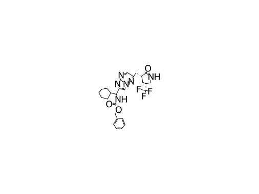 O=C(N[C@H](c1cn2nc(C[C@H]3C[C@@H](C(F)(F)F)CNC3=O)cnc2n1)C1CCCCC1)OCc1ccccc1